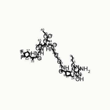 CCCCOc1nc(N)c2nc(O)n(Cc3ccc(C(=O)NCCOCCOCCNC(=O)[C@@H](CCC(=O)OCC)NC(=O)[C@@H](NC(=O)CNC(=O)C4CC4c4ccc(F)c(F)c4)C(C)C)cc3)c2n1